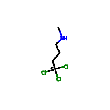 CNCC[CH2][Sn]([Cl])([Cl])[Cl]